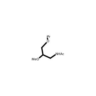 COC(CNC(C)=O)COC(C)C